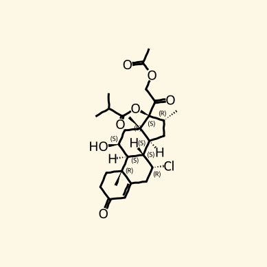 CC(=O)OCC(=O)[C@]1(OC(=O)C(C)C)[C@H](C)C[C@H]2[C@H]3[C@H]([C@@H](O)C[C@@]21C)[C@@]1(C)CCC(=O)C=C1C[C@H]3Cl